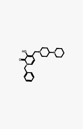 O=c1c(O)c(CN2CCC(N3CCCCC3)CC2)ccn1Cc1ccccc1